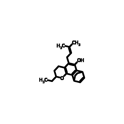 CCC1CCc2c(CC=C(C)C)c(O)c3c(c2O1)C1C=CC3CC1